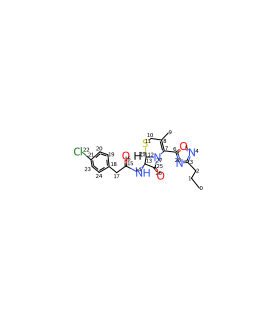 CCCc1noc(C2=C(C)CS[C@@H]3[C@H](NC(=O)Cc4ccc(Cl)cc4)C(=O)N23)n1